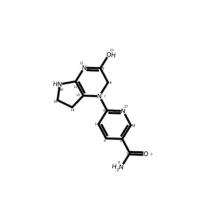 NC(=O)c1ccc(N2CC(O)=NC3=C2CCN3)nc1